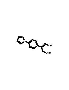 COCC(=NO)c1ccc(-n2cccn2)cc1